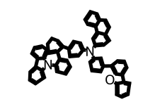 C1=C(c2ccc(N(c3cccc(-c4cccc5c4oc4ccccc45)c3)c3ccc4ccc5ccccc5c4c3)cc2)C(c2ccccc2-n2c3ccccc3c3ccccc32)=CCC1